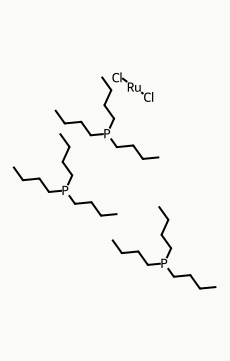 CCCCP(CCCC)CCCC.CCCCP(CCCC)CCCC.CCCCP(CCCC)CCCC.[Cl][Ru][Cl]